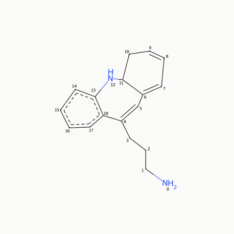 NCCCC1=CC2=CC=CCC2Nc2ccccc21